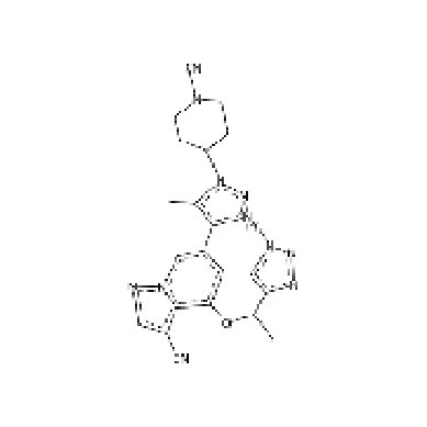 Cc1c(-c2cc(OC(C)c3cn(C(C)C)nn3)c3c(C#N)cnn3c2)nnn1C1CCN(C#N)CC1